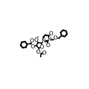 COC1C(OC(=O)c2ccccc2)C(OC(C)=O)OC1n1ccc(=O)n(COCc2ccccc2)c1=O